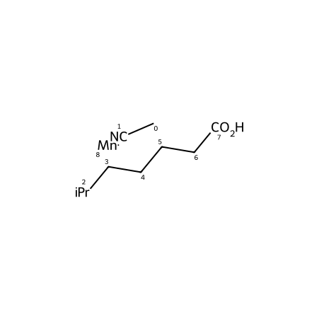 CC#N.CC(C)CCCCC(=O)O.[Mn]